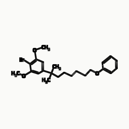 COc1cc(C(C)(C)CCCCCCOc2ccccc2)cc(OC)c1Br